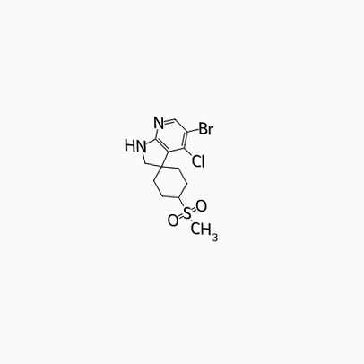 CS(=O)(=O)C1CCC2(CC1)CNc1ncc(Br)c(Cl)c12